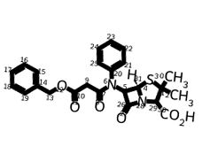 CC1(C)S[C@@H]2C(N(C(=O)CC(=O)OCc3ccccc3)c3ccccc3)C(=O)N2C1C(=O)O